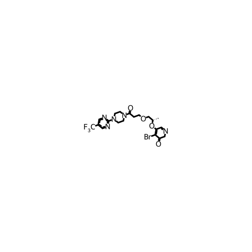 C[C@@H](COCCC(=O)N1CCN(c2ncc(C(F)(F)F)cn2)CC1)OC1=C(Br)C(=O)CN=C1